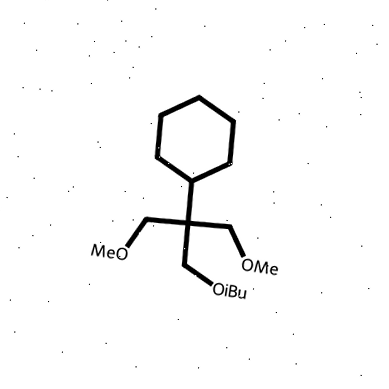 COCC(COC)(COCC(C)C)C1CCCCC1